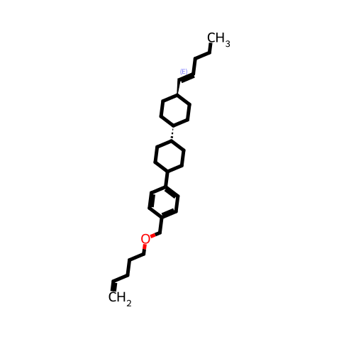 C=CCCCOCc1ccc(C2CCC([C@H]3CC[C@H](/C=C/CCC)CC3)CC2)cc1